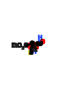 CCOC(=O)CCOc1ccccc1[C@H](NS(=O)(=O)c1ccc2[nH]c(=O)ccc2c1)C(=O)N(CC)Cc1cccs1